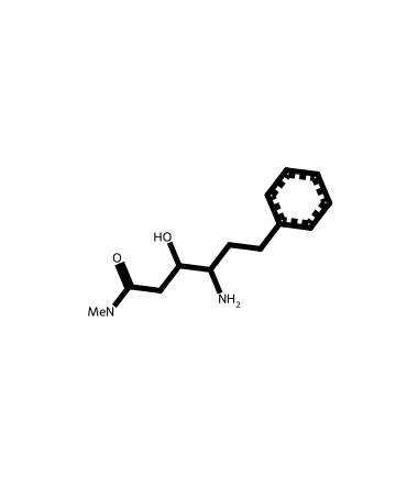 CNC(=O)CC(O)C(N)CCc1ccccc1